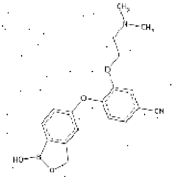 CN(C)CCOc1cc(C#N)ccc1Oc1ccc2c(c1)COB2O